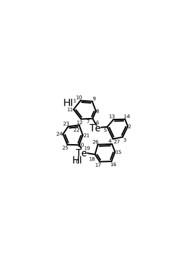 I.I.c1ccc([Te]c2ccccc2)cc1.c1ccc([Te]c2ccccc2)cc1